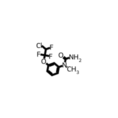 CN(C(N)=O)c1cccc(OC(F)(F)C(F)Cl)c1